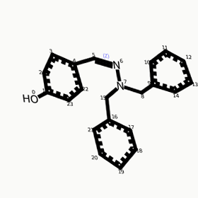 Oc1ccc(/C=N\N(Cc2ccccc2)Cc2ccccc2)cc1